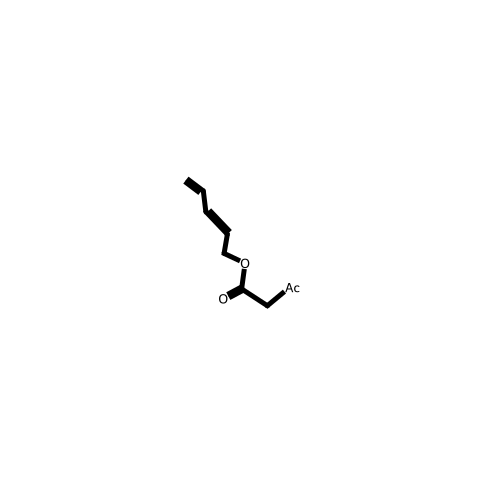 C=CC=CCOC(=O)CC(C)=O